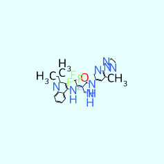 Cc1cc(NC(=O)/C(C=N)=C(/Nc2cc(C(C)C)nc3ccccc23)C(F)(F)F)cnc1-n1nccn1